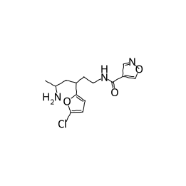 CC(N)CC(CCNC(=O)c1cnoc1)c1ccc(Cl)o1